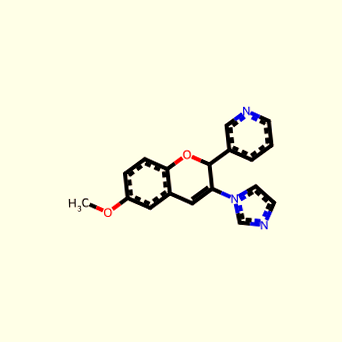 COc1ccc2c(c1)C=C(n1ccnc1)C(c1cccnc1)O2